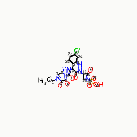 CCN1CCN(C(=O)NC(C(=O)NC2CN(S(=O)(=O)O)C2=O)c2ccc(Cl)cc2)C(=O)C1=O